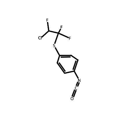 O=C=Nc1ccc(SC(F)(F)C(F)Cl)cc1